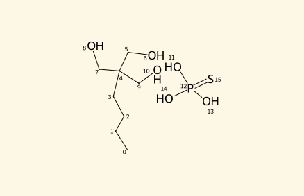 CCCCC(CO)(CO)CO.OP(O)(O)=S